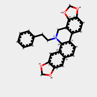 c1ccc(CCN2Cc3c(ccc4c3OCO4)-c3ccc4cc5c(cc4c32)OCO5)cc1